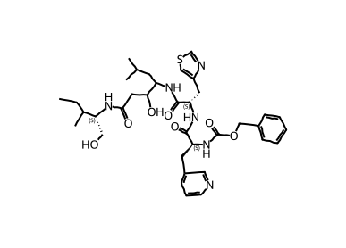 CCC(C)[C@@H](CO)NC(=O)CC(O)C(CC(C)C)NC(=O)[C@H](Cc1cscn1)NC(=O)[C@H](Cc1cccnc1)NC(=O)OCc1ccccc1